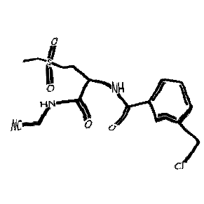 CS(=O)(=O)CC(NC(=O)c1cccc(CCl)c1)C(=O)NCC#N